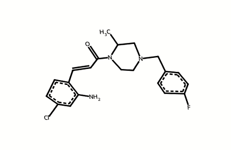 CC1CN(Cc2ccc(F)cc2)CCN1C(=O)C=Cc1ccc(Cl)cc1N